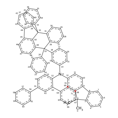 CC1(C)c2ccccc2-c2ccc(N(c3cccc(C4(c5ccccc5)c5ccccc5C5(c6ccccc6)c6ccccc6-c6cccc4c65)c3)c3ccc(-c4ccccc4)cc3-c3ccccc3)cc21